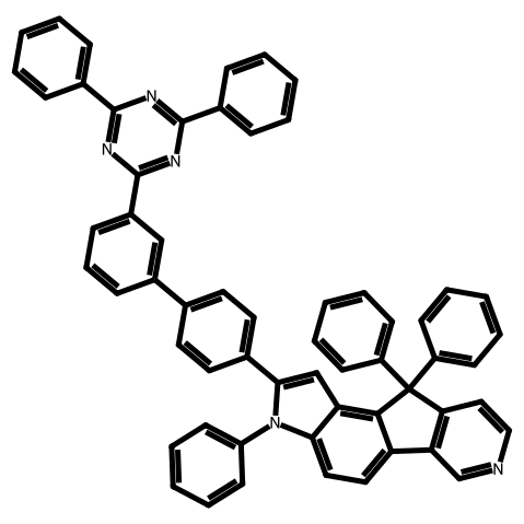 c1ccc(-c2nc(-c3ccccc3)nc(-c3cccc(-c4ccc(-c5cc6c7c(ccc6n5-c5ccccc5)-c5cnccc5C7(c5ccccc5)c5ccccc5)cc4)c3)n2)cc1